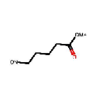 COC(=O)CCCCN=O